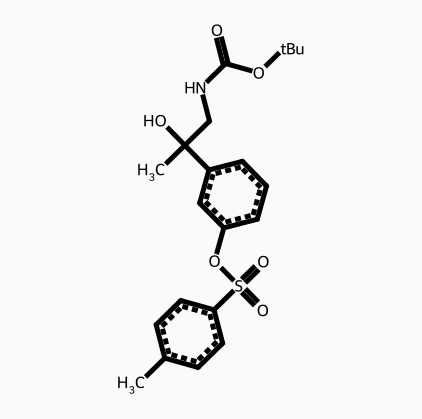 Cc1ccc(S(=O)(=O)Oc2cccc(C(C)(O)CNC(=O)OC(C)(C)C)c2)cc1